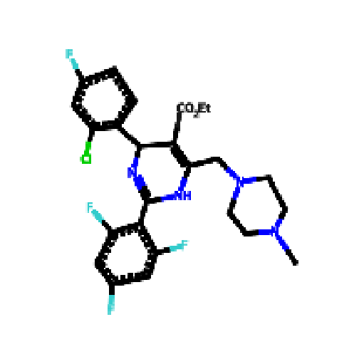 CCOC(=O)C1=C(CN2CCN(C)CC2)NC(c2c(F)cc(F)cc2F)=NC1c1ccc(F)cc1Cl